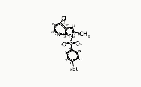 CCc1ccc(S(=O)(=O)n2c(C)cc3c(Cl)ccnc32)cc1